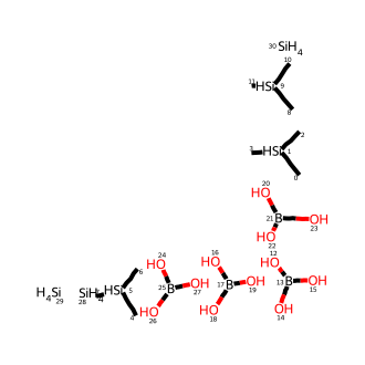 C[SiH](C)C.C[SiH](C)C.C[SiH](C)C.OB(O)O.OB(O)O.OB(O)O.OB(O)O.[SiH4].[SiH4].[SiH4]